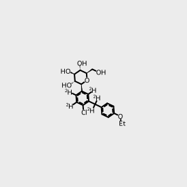 [2H]c1c([2H])c([C@@H]2O[C@H](CO)[C@@H](O)[C@H](O)[C@H]2O)c([2H])c(C([2H])([2H])c2ccc(OCC)cc2)c1Cl